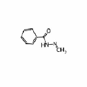 C=NNC(=O)c1ccccc1